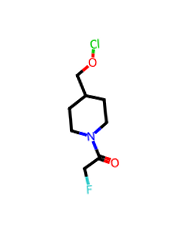 O=C(CF)N1CCC(COCl)CC1